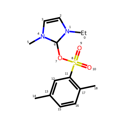 CCN1C=CN(C)C1OS(=O)(=O)c1cc(C)ccc1C